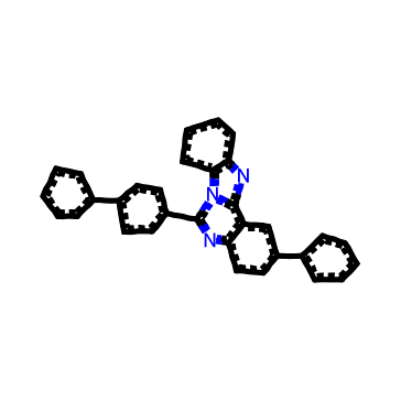 c1ccc(-c2ccc(-c3nc4ccc(-c5ccccc5)cc4c4nc5ccccc5n34)cc2)cc1